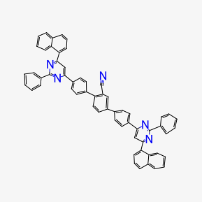 N#Cc1cc(-c2ccc(-c3cc(-c4cccc5ccccc45)nc(-c4ccccc4)n3)cc2)ccc1-c1ccc(-c2cc(-c3cccc4ccccc34)nc(-c3ccccc3)n2)cc1